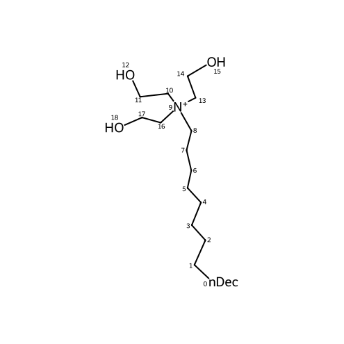 CCCCCCCCCCCCCCCCCC[N+](CCO)(CCO)CCO